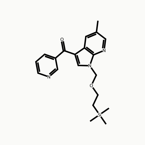 Cc1cnc2c(c1)c(C(=O)c1cccnc1)cn2COCC[Si](C)(C)C